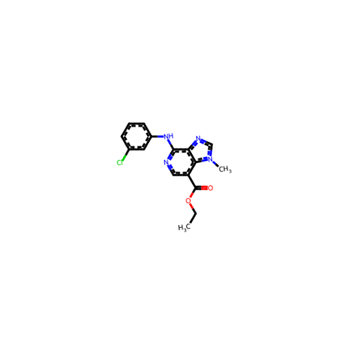 CCOC(=O)c1cnc(Nc2cccc(Cl)c2)c2ncn(C)c12